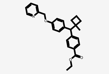 CCOC(=O)c1ccc(C(c2ccc(OCc3ccccn3)cc2)C2(C)CCC2)cc1